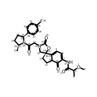 COC(C)C(=O)NC1=CC=C2C(CC[C@]23CN(CC(=O)N2[C@@H](C)CC[C@H]2c2ccc(F)cc2)C(=O)O3)C1=O